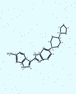 Nc1ccc2c(-c3nc4ccc(N5CCC(N6CCCC6)CC5)cc4[nH]3)n[nH]c2c1